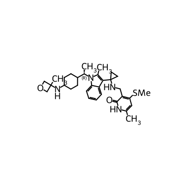 CSc1cc(C)[nH]c(=O)c1CNC1(c2c(C)n([C@H](C)C3CCC(NC4(C)COC4)CC3)c3ccccc23)CC1